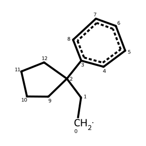 [CH2]CC1(c2ccccc2)CCCC1